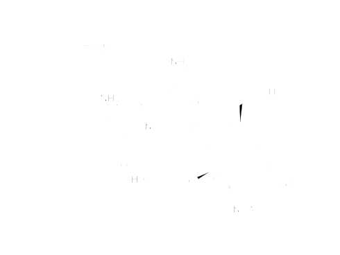 CC(=O)N[C@@H]1[C@@H](OC(C)CN(C(=O)[C@@H](N)CO)[C@H](CCC(=O)O)C(N)=O)[C@H](O)[C@@H](CO)O[C@@H]1O